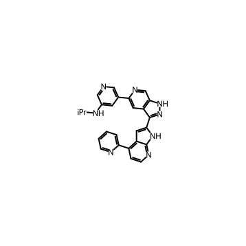 CC(C)Nc1cncc(-c2cc3c(-c4cc5c(-c6ccccn6)ccnc5[nH]4)n[nH]c3cn2)c1